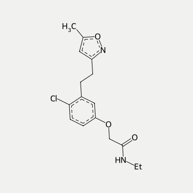 CCNC(=O)COc1ccc(Cl)c(CCc2cc(C)on2)c1